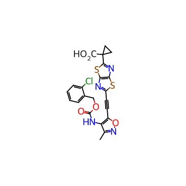 Cc1noc(C#Cc2nc3sc(C4(C(=O)O)CC4)nc3s2)c1NC(=O)OCc1ccccc1Cl